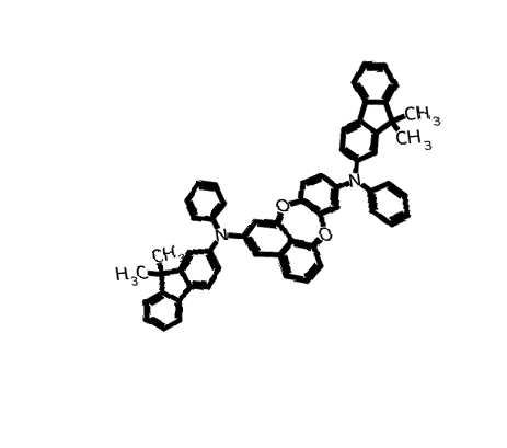 CC1(C)c2ccccc2-c2ccc(N(c3ccccc3)c3ccc4c(c3)Oc3cccc5cc(N(c6ccccc6)c6ccc7c(c6)C(C)(C)c6ccccc6-7)cc(c35)O4)cc21